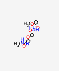 CNC(=O)c1cc(Oc2cccc(C(=O)NNC(=O)c3ccccc3OC)c2)ccn1